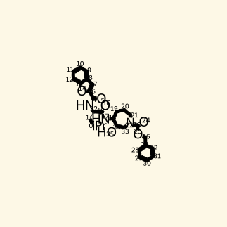 CC(C)C[C@H](NC(=O)c1cc2ccccc2o1)C(=O)NC1CCCN(C(=O)OCc2ccccc2)CC1O